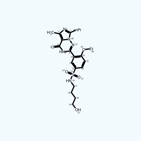 CCCc1nc(C)c2c(=O)[nH]c(-c3cc(S(=O)(=O)NCCCCO)ccc3OCC)nn12